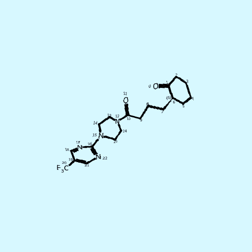 O=C1CCCC[C@H]1CCCC(=O)N1CCN(c2ncc(C(F)(F)F)cn2)CC1